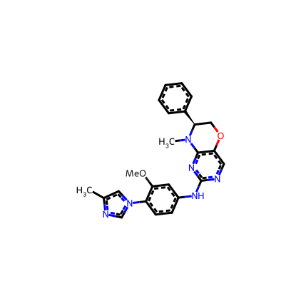 COc1cc(Nc2ncc3c(n2)N(C)[C@@H](c2ccccc2)CO3)ccc1-n1cnc(C)c1